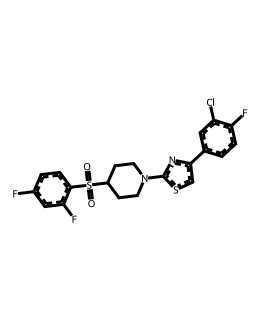 O=S(=O)(c1ccc(F)cc1F)C1CCN(c2nc(-c3ccc(F)c(Cl)c3)cs2)CC1